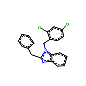 Clc1ccc(Cn2c(Cc3ccccc3)nc3ccccc32)c(Cl)c1